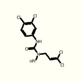 CCCN(CC=C(Cl)Cl)C(=O)Nc1ccc(Cl)c(Cl)c1